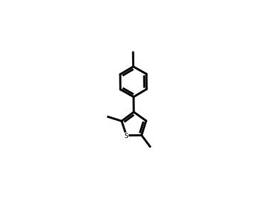 Cc1ccc(-c2cc(C)sc2C)cc1